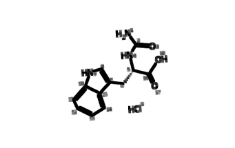 Cl.NC(=O)N[C@@H](Cc1c[nH]c2ccccc12)C(=O)O